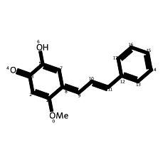 COC1=CC(=O)C(O)=C/C1=C\C=C\c1ccccc1